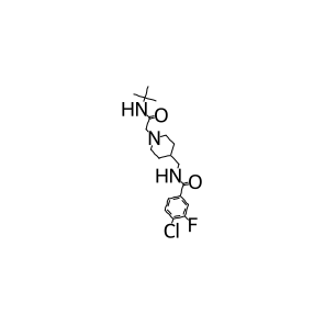 CC(C)(C)NC(=O)CN1CCC(CNC(=O)c2ccc(Cl)c(F)c2)CC1